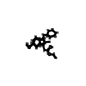 CCOC(=O)Cc1c(C)n(CC2CCCCC2)c2ccc(OC)cc12